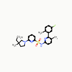 Cc1ccc(F)cc1-c1nc(NS(=O)(=O)c2cccc(N3CCC(C)(CC(=O)O)C3)n2)ccc1C(F)(F)F